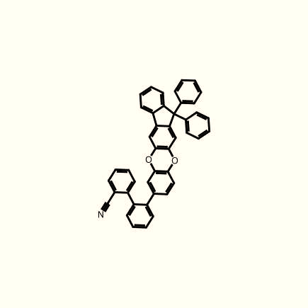 N#Cc1ccccc1-c1ccccc1-c1ccc2c(c1)Oc1cc3c(cc1O2)C(c1ccccc1)(c1ccccc1)c1ccccc1-3